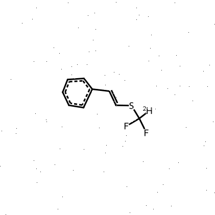 [2H]C(F)(F)S/C=C/c1ccccc1